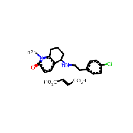 CCCn1c2c(ccc1=O)C(NCCc1ccc(Cl)cc1)CCC2.O=C(O)C=CC(=O)O